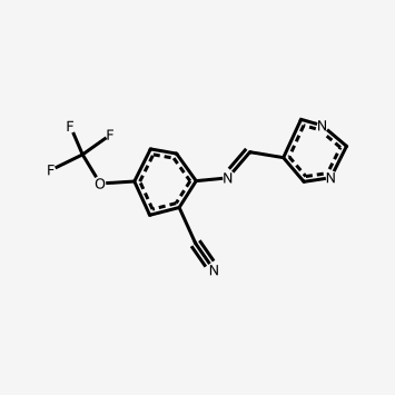 N#Cc1cc(OC(F)(F)F)ccc1N=Cc1cncnc1